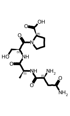 C[C@H](NC(=O)[C@@H](N)CC(N)=O)C(=O)N[C@@H](CO)C(=O)N1CCC[C@@H]1C(=O)O